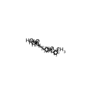 Cc1cccc(CC(=O)N2CCC(CCCCNC(=O)NCO)CC2)c1